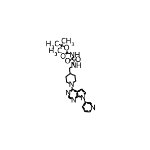 CC(C)(C)OC(=O)NS(=O)(=O)NCC1CCN(c2ncnc3c2ccn3-c2cccnc2)CC1